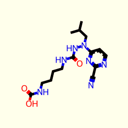 CC(C)CN(NC(=O)NCCCCNC(=O)O)c1ccnc(C#N)n1